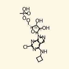 CP(=O)(O)OOC[C@H]1O[C@@H](n2ncc3c(NC4CCC4)nc(Cl)nc32)[C@H](O)[C@@H]1O